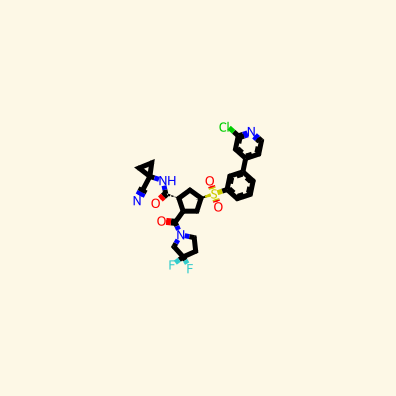 N#CC1(NC(=O)[C@@H]2C[C@@H](S(=O)(=O)c3cccc(-c4ccnc(Cl)c4)c3)CC2C(=O)N2CCC(F)(F)C2)CC1